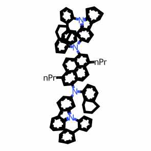 CCCc1cc(N(c2ccc3c4ccccc4n(-c4ccccc4-c4ccccc4)c3c2)c2cccc3c2CCCC3)c2ccc3c(CCC)cc(N(c4ccc5c6ccccc6n(-c6ccccc6-c6ccccc6)c5c4)c4cccc5c4CCCC5)c4ccc1c2c34